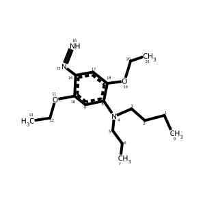 CCCCN(CCC)c1cc(OCC)c(N=N)cc1OCC